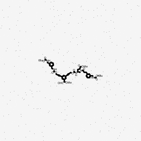 COC(=O)C1CC(NC(=O)OCC#Cc2cc(C#CCOC(=O)NCc3cccc(CNC(=O)OC(C)(C)C)c3)cc(C(C=O)OC)c2)CN1C(=O)CCc1cccc(CNC(=O)OC(C)(C)C)c1